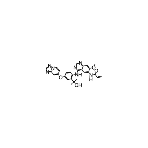 C=CC(=O)Nc1cc2c(Nc3ccc(Oc4ccn5ncnc5c4)cc3C(C)(C)O)ncnc2cc1OC